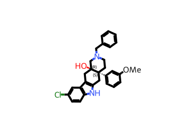 COc1cccc([C@@]23CCN(Cc4ccccc4)C[C@@]2(O)Cc2c([nH]c4ccc(Cl)cc24)C3)c1